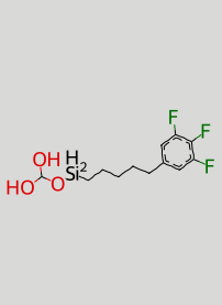 OC(O)O[SiH2]CCCCCc1cc(F)c(F)c(F)c1